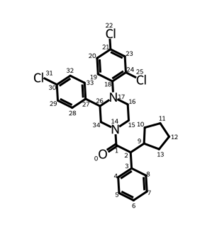 O=C(C(c1ccccc1)C1CCCC1)N1CCN(c2ccc(Cl)cc2Cl)C(c2ccc(Cl)cc2)C1